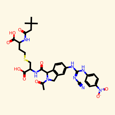 CC(=O)N1Cc2cc(NC(=NC#N)Nc3ccc([N+](=O)[O-])cc3)ccc2C1C(=O)NC(CSCCC(NC(=O)CC(C)(C)C)C(=O)O)C(=O)O